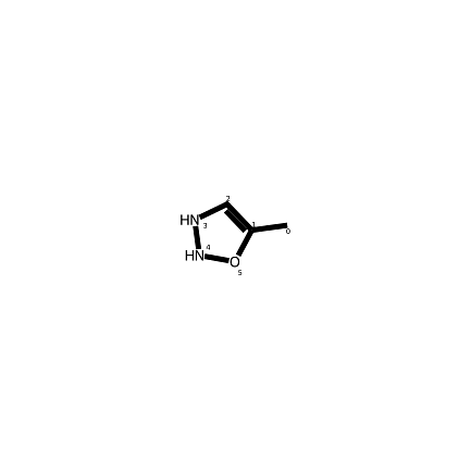 CC1=CNNO1